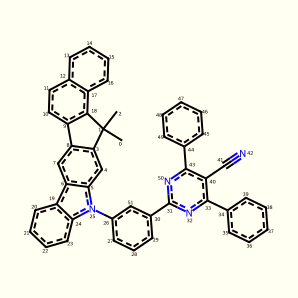 CC1(C)c2cc3c(cc2-c2ccc4ccccc4c21)c1ccccc1n3-c1cccc(-c2nc(-c3ccccc3)c(C#N)c(-c3ccccc3)n2)c1